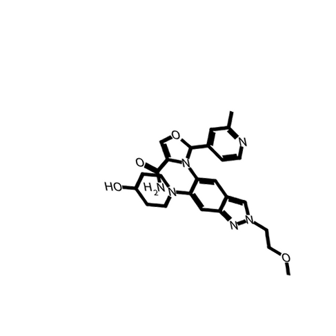 COCCn1cc2cc(N3C(C(N)=O)=COC3c3ccnc(C)c3)c(N3CCC(O)CC3)cc2n1